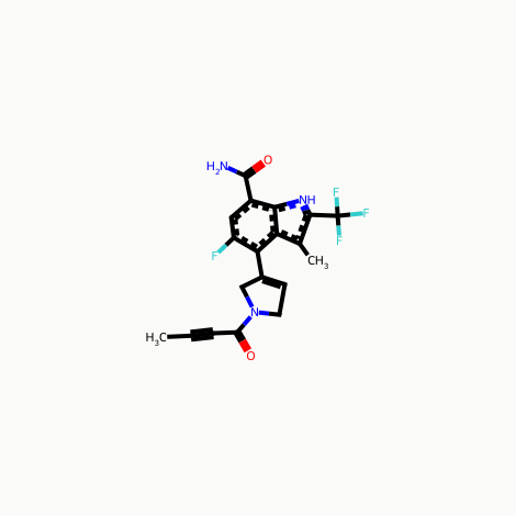 CC#CC(=O)N1CC=C(c2c(F)cc(C(N)=O)c3[nH]c(C(F)(F)F)c(C)c23)C1